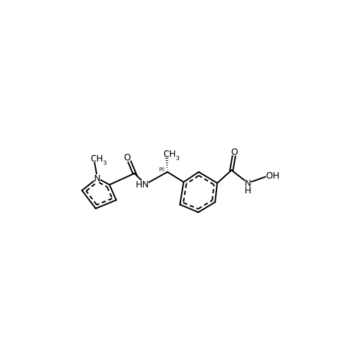 C[C@@H](NC(=O)c1cccn1C)c1cccc(C(=O)NO)c1